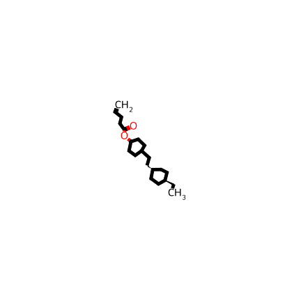 C=CCCC(=O)OC1CCC(CC[C@H]2CC[C@H](CC)CC2)CC1